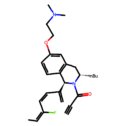 C#CC(=O)N1[C@@H](CCCC)Cc2cc(OCCN(C)C)ccc2[C@@H]1C(=C)/C=C\C(F)=C/C